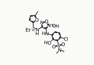 CC[C@@H](Nc1no[n+](O)c1Nc1ccc(Cl)c(S(=O)(=O)N(C)C)c1O)c1ccc(C)o1